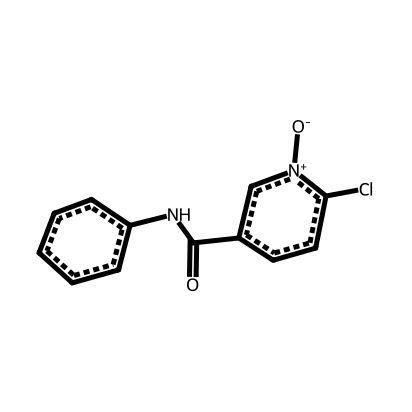 O=C(Nc1ccccc1)c1ccc(Cl)[n+]([O-])c1